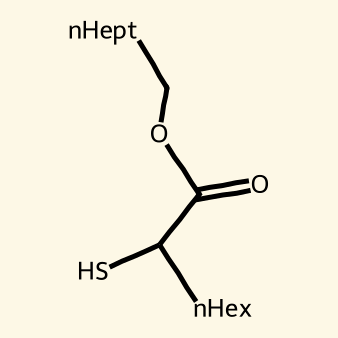 CCCCCCCCOC(=O)C(S)CCCCCC